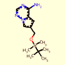 CC(C)(C)[Si](C)(C)OCc1cc2c(N)ncnn2c1